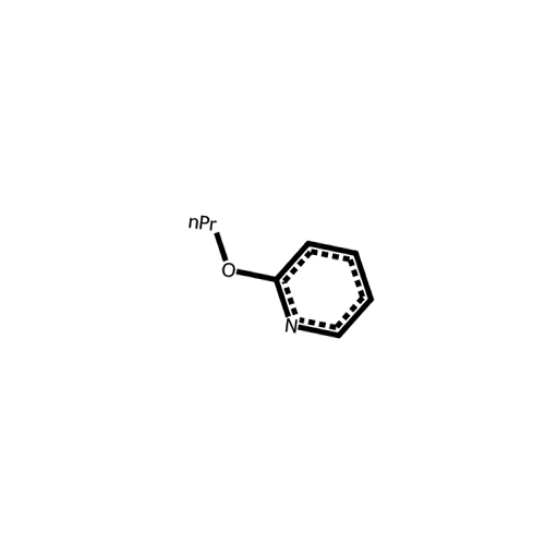 [CH2]CCOc1ccccn1